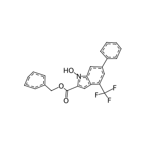 O=C(OCc1ccccc1)c1cc2c(C(F)(F)F)cc(-c3ccccc3)cc2n1O